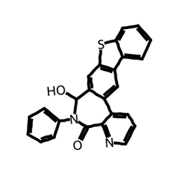 O=C1c2ncccc2-c2cc3c(cc2C(O)N1c1ccccc1)sc1ccccc13